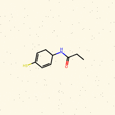 CCC(=O)NC1C=CC(S)=CC1